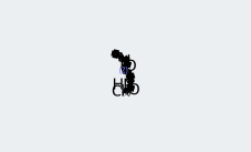 C[C@H](Cl)C(=O)NCC(C)(C)C/C=C\C(=O)N(C)CCC(C)(C)C